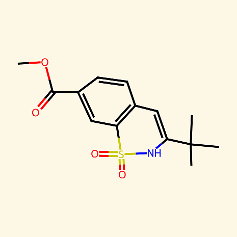 COC(=O)c1ccc2c(c1)S(=O)(=O)NC(C(C)(C)C)=C2